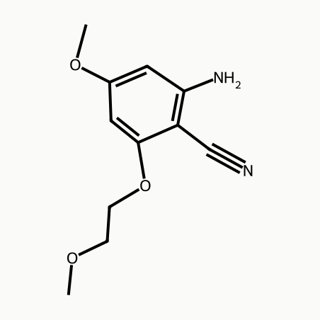 COCCOc1cc(OC)cc(N)c1C#N